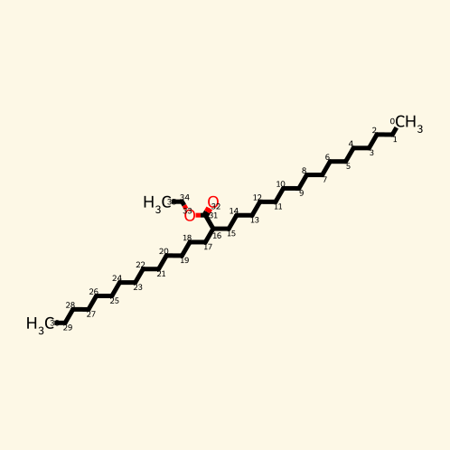 CCCCCCCCCCCCCCCCC(CCCCCCCCCCCCCC)C(=O)OCC